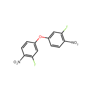 O=[N+]([O-])c1ccc(Oc2ccc([N+](=O)[O-])c(F)c2)cc1F